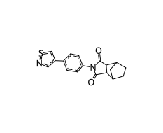 O=C1C2C3CCC(C3)C2C(=O)N1c1ccc(-c2cnsc2)cc1